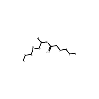 CCCCCC(=O)OC(C)COCCC